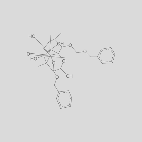 CC1=C(O)C(=O)C2(O)C3(C)CC(O)OC4(C(OCOCc5ccccc5)C(C)CCC34OCOCc3ccccc3)C12O